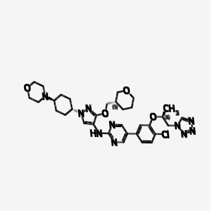 C[C@@H](Cn1cnnn1)Oc1cc(-c2cnc(Nc3cn([C@H]4CC[C@H](N5CCOCC5)CC4)nc3OC[C@H]3CCCOC3)nc2)ccc1Cl